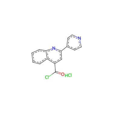 Cl.O=C(Cl)c1cc(-c2ccncc2)nc2ccccc12